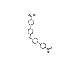 O=[N+]([O-])c1ccc(-c2ccc(Oc3ccc(-c4ccc([N+](=O)[O-])cc4)cc3)cc2)cc1